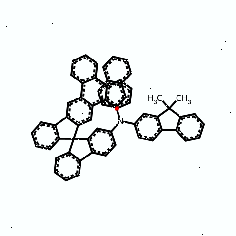 CC1(C)c2ccccc2-c2ccc(N(c3ccc4c(c3)C3(c5ccccc5-4)c4ccccc4-c4cc5c6ccccc6c6ccccc6c5cc43)c3ccc4ccccc4c3)cc21